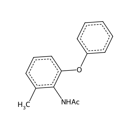 CC(=O)Nc1c(C)cccc1Oc1ccccc1